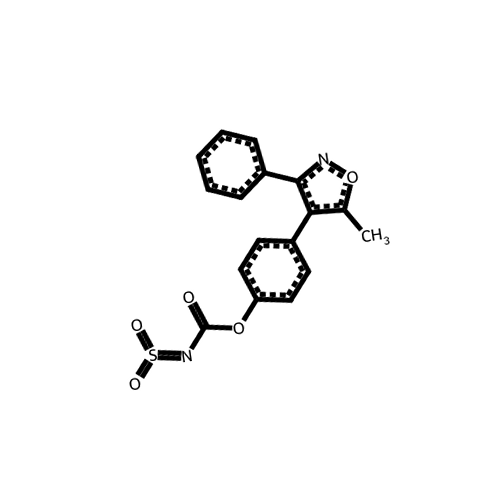 Cc1onc(-c2ccccc2)c1-c1ccc(OC(=O)N=S(=O)=O)cc1